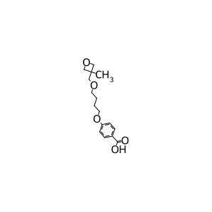 CC1(COCCCCOc2ccc(C(=O)O)cc2)COC1